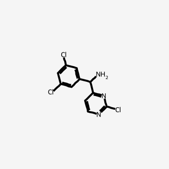 NC(c1cc(Cl)cc(Cl)c1)c1ccnc(Cl)n1